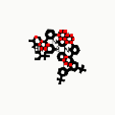 C=C(/C(=C\C)C(C)(C)C)c1ccc(-c2cccc(-c3ccccc3)c2N2c3cc(NC(/C=C\C)=C(\C)C(C)C)ccc3B3c4ccc(-n5c6ccc(C(C)(C)C)cc6c6cc(C(C)(C)C)ccc65)cc4N(c4c(-c5ccccc5)cccc4-c4ccccc4)c4c5c6c(c2c43)CCCN6CCC5)cc1